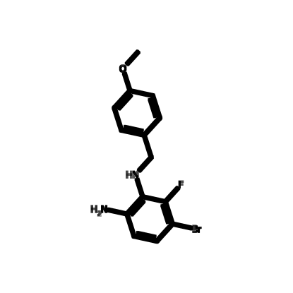 COc1ccc(CNc2c(N)ccc(Br)c2F)cc1